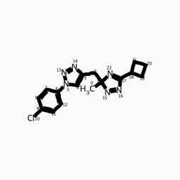 CC1(Cc2cn(-c3ccc(Cl)cc3)nn2)N=NC(C2CCC2)=N1